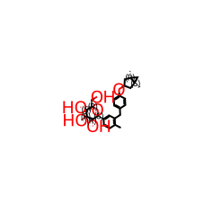 Cc1ccc([C@@H]2O[C@H](CO)[C@@H](O)[C@H](O)[C@H]2O)cc1Cc1ccc(OC2C[C@@]3(C)C[C@@]3(C)C2)cc1